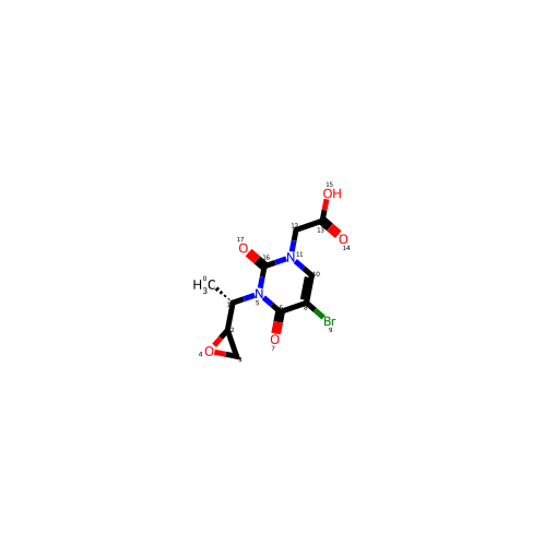 C[C@@H](C1CO1)n1c(=O)c(Br)cn(CC(=O)O)c1=O